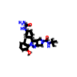 COc1cccc(C)c1-n1nc2c(c1-c1ccc(NC(N)=O)cc1)CN(C(=O)NC(C)(C)C)C2